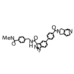 CNC(=O)c1ccc(CNC(=O)c2nn(C)c3ccc(-c4ccc(C(=O)N5Cc6ccncc6C5)cc4)cc23)cc1